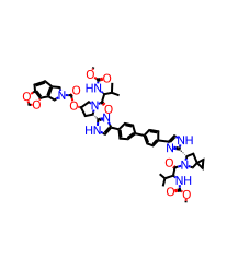 COC(=O)NC(C(=O)N1CC2(CC2)C[C@H]1c1nc(-c2ccc(-c3ccc(-c4c[nH]c([C@@H]5CC(OC(=O)N6Cc7ccc8c(c7C6)OCO8)CN5C(=O)[C@@H](NC(=O)OC)C(C)C)n4)cc3)cc2)c[nH]1)C(C)C